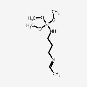 CC=NCCCN[Si](OC)(OC)OC